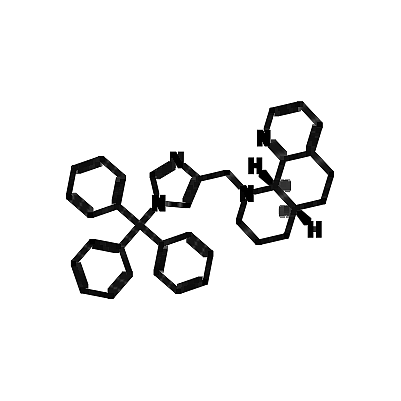 c1ccc(C(c2ccccc2)(c2ccccc2)n2cnc(CN3CCC[C@H]4CCc5cccnc5[C@H]43)c2)cc1